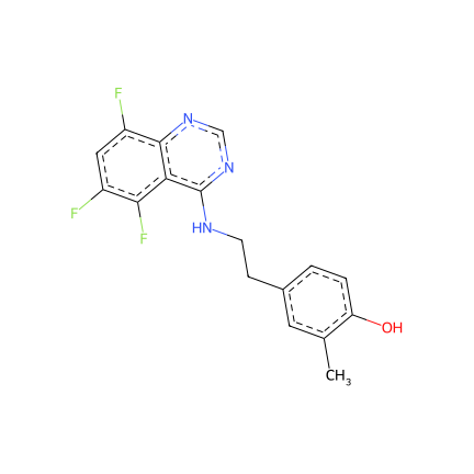 Cc1cc(CCNc2ncnc3c(F)cc(F)c(F)c23)ccc1O